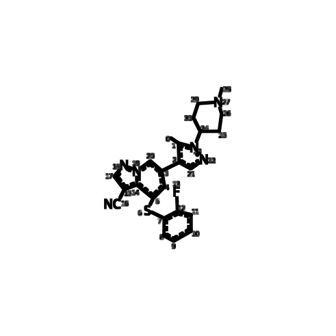 Cc1c(-c2cc(Sc3ccccc3F)c3c(C#N)cnn3c2)cnn1C1CCN(C)CC1